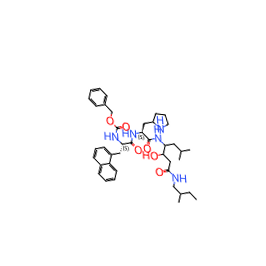 CCC(C)CNC(=O)CC(O)C(CC(C)C)NC(=O)[C@H](CC1CCCN1)NC(=O)[C@H](Cc1cccc2ccccc12)NC(=O)OCc1ccccc1